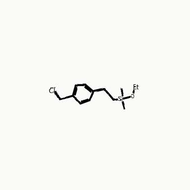 CCO[Si](C)(C)CCc1ccc(CCl)cc1